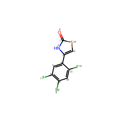 O=c1[nH]c(-c2cc(F)c(Br)cc2F)cs1